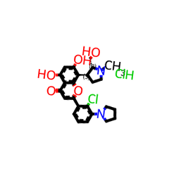 CN1CC[C@@H](c2c(O)cc(O)c3c(=O)cc(-c4cccc(N5CCCC5)c4Cl)oc23)[C@@H]1CO.Cl